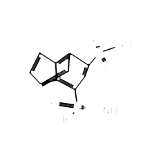 N.O=S(=O)(O)c1cc(S(=O)(=O)O)c2c3c1C=C2C=C3